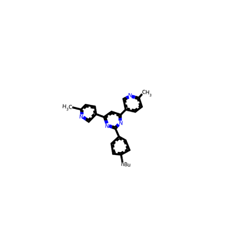 CCCCc1ccc(-c2nc(-c3ccc(C)nc3)cc(-c3ccc(C)nc3)n2)cc1